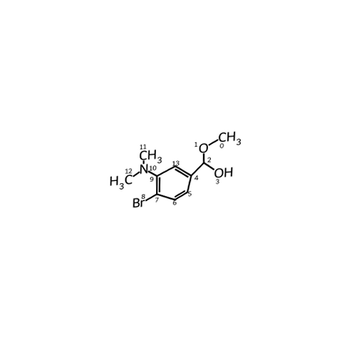 COC(O)c1ccc(Br)c(N(C)C)c1